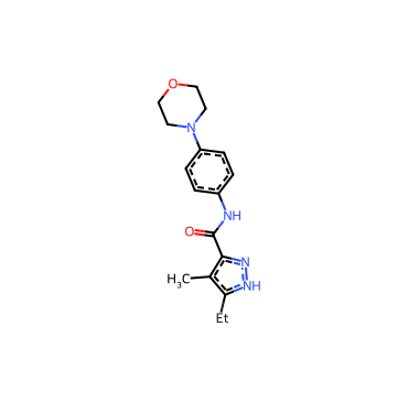 CCc1[nH]nc(C(=O)Nc2ccc(N3CCOCC3)cc2)c1C